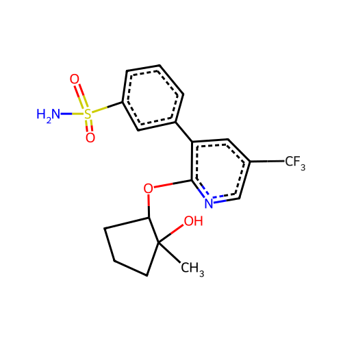 CC1(O)CCCC1Oc1ncc(C(F)(F)F)cc1-c1cccc(S(N)(=O)=O)c1